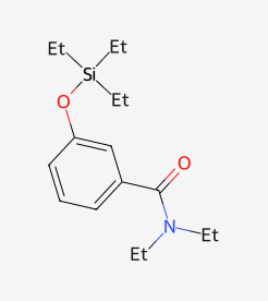 CCN(CC)C(=O)c1cccc(O[Si](CC)(CC)CC)c1